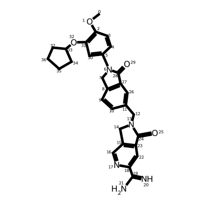 COc1ccc(N2Cc3ccc(CN4Cc5cnc(C(=N)N)cc5C4=O)cc3C2=O)cc1OC1CCCC1